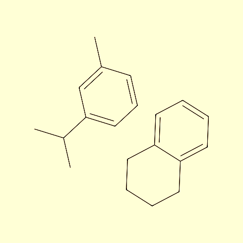 Cc1cccc(C(C)C)c1.c1ccc2c(c1)CCCC2